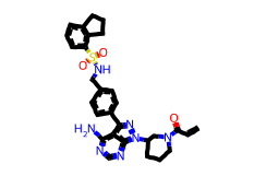 C=CC(=O)N1CCCC(n2nc(-c3ccc(CNS(=O)(=O)c4cccc5c4CCC5)cc3)c3c(N)ncnc32)C1